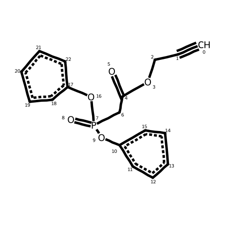 C#CCOC(=O)CP(=O)(Oc1ccccc1)Oc1ccccc1